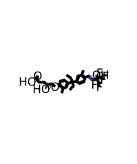 CCC(CC)(c1ccc(/C=C/C(O)(C(F)(F)F)C(F)(F)F)c(C)c1)c1ccc(OC[C@@H](O)CCC(=O)O)c(C)c1